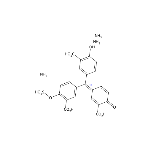 N.N.N.O=C(O)C1=C/C(=C(/c2ccc(O)c(C(=O)O)c2)c2ccc(OS(=O)(=O)O)c(C(=O)O)c2)C=CC1=O